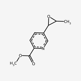 COC(=O)c1ccc(C2OC2C)cn1